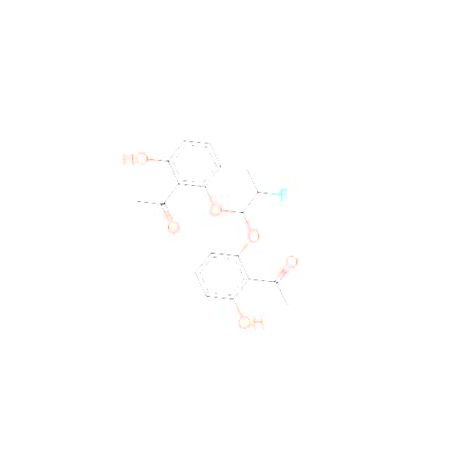 CC(=O)c1c(O)cccc1OC(Oc1cccc(O)c1C(C)=O)C(C)F